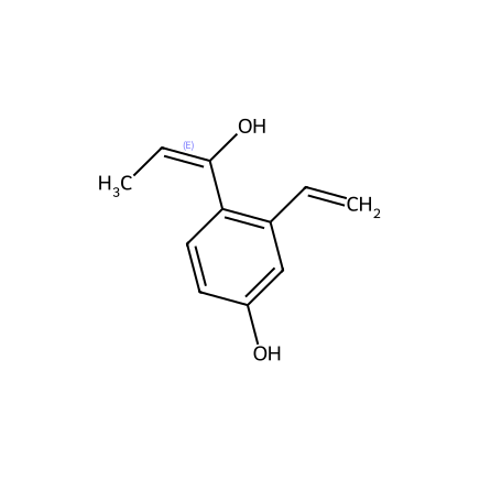 C=Cc1cc(O)ccc1/C(O)=C\C